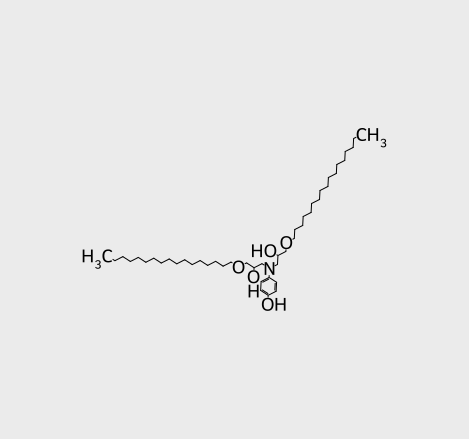 CCCCCCCCCCCCCCCCCOCC(O)CN(CC(O)COCCCCCCCCCCCCCCCCC)c1ccc(O)cc1